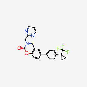 O=C1Oc2ccc(-c3ccc(C4(C(F)(F)F)CC4)cc3)cc2CN1Cc1ncccn1